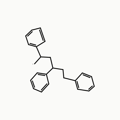 [CH2]C(CC(CCc1ccccc1)c1ccccc1)c1ccccc1